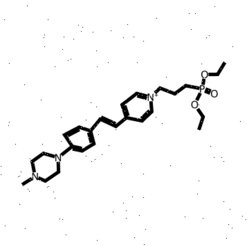 CCOP(=O)(CCC[n+]1ccc(C=Cc2ccc(N3CCN(C)CC3)cc2)cc1)OCC